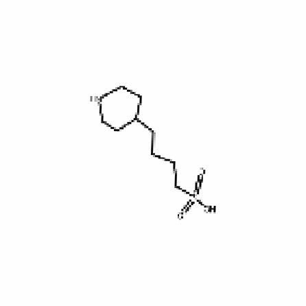 O=S(=O)(O)CCCCC1CCNCC1